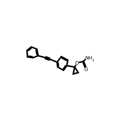 NC(=O)OC1(c2ccc(C#Cc3ccccc3)cc2)CC1